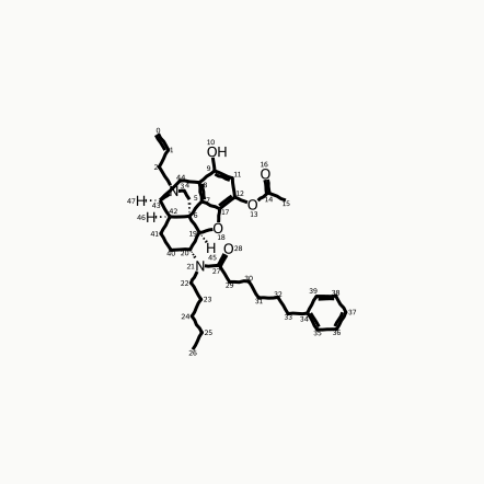 C=CCN1CC[C@]23c4c5c(O)cc(OC(C)=O)c4O[C@H]2[C@H](N(CCCCC)C(=O)CCCCCc2ccccc2)CC[C@H]3[C@H]1C5